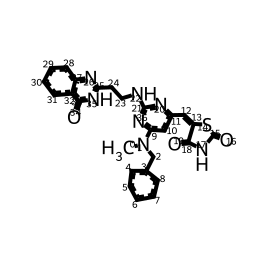 CN(Cc1ccccc1)c1cc(C=C2SC(=O)NC2=O)nc(NCCc2nc3ccccc3c(=O)[nH]2)n1